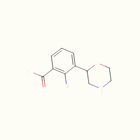 Nc1c(C(=O)O)cccc1C1CNCCO1